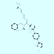 CNC(=O)CCCCCC(c1ncc(-c2ccc(-c3ccn(C)n3)cc2)[nH]1)N(Cc1ccccc1)C(=O)O